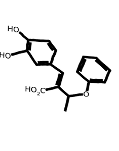 CC(Oc1ccccc1)C(=Cc1ccc(O)c(O)c1)C(=O)O